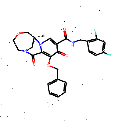 O=C(NCc1ccc(F)cc1F)c1cn2c(c(OCc3ccccc3)c1=O)C(=O)N1CCOC[C@@H]2C1